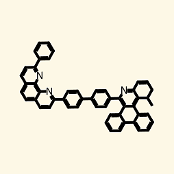 CC1CC=Cc2nc(-c3ccc(-c4ccc(-c5ccc6ccc7ccc(-c8ccccc8)nc7c6n5)cc4)cc3)c3c4ccccc4c4ccccc4c3c21